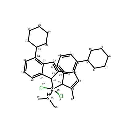 CC1=Cc2c(C3CCCCC3)cccc2[CH]1[Zr]([Cl])([Cl])([CH]1C(C)=Cc2c(C3CCCCC3)cccc21)[SiH](C)C